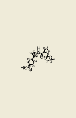 CC(C)(C)OC(=O)N1CCCC1C(=O)Nc1nc(-c2ccc(C(=O)O)cc2)cs1